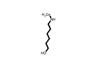 OCC[CH]CCC[NH][GeH3]